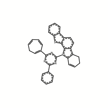 C1=CCC=C(c2nc(-c3ccccc3)nc(-n3c4c(c5ccc6c7ccccc7sc6c53)CCC=C4)n2)C=C1